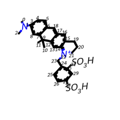 CN(C)c1ccc2c(c1)C(C)(C)c1cc3c(cc1=C2)CCC[N+]=3Cc1ccc(S(=O)(=O)O)cc1S(=O)(=O)O